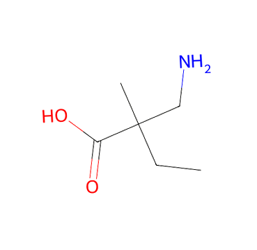 CCC(C)(CN)C(=O)O